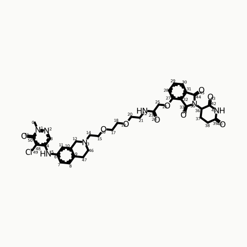 Cn1ncc(Nc2ccc3c(c2)CN(CCOCCOCCNC(=O)COc2cccc4c2C(=O)N(C2CCC(=O)NC2=O)C4=O)CC3)c(Cl)c1=O